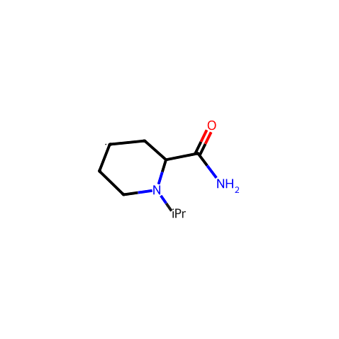 CC(C)N1CC[CH]CC1C(N)=O